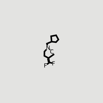 FC(F)=C1CCN(CC2CCCC2)CC1